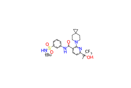 CC(C)(C)NS(=O)(=O)c1cccc(NC(=O)c2ccc([C@](C)(O)C(F)(F)F)nc2N2CCC3(CC2)CC3)c1